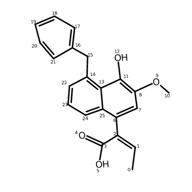 CC=C(C(=O)O)c1cc(OC)c(O)c2c(Cc3ccccc3)cccc12